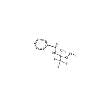 COC(C)(NC(=O)c1ccccc1)C(F)(F)F